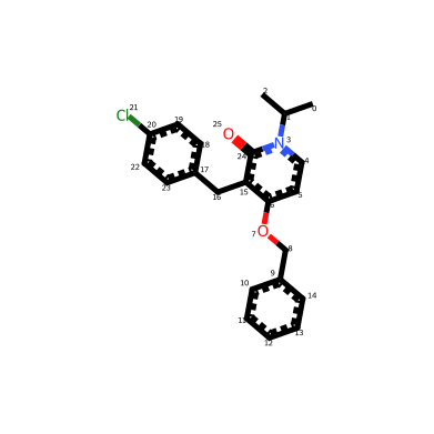 CC(C)n1ccc(OCc2ccccc2)c(Cc2ccc(Cl)cc2)c1=O